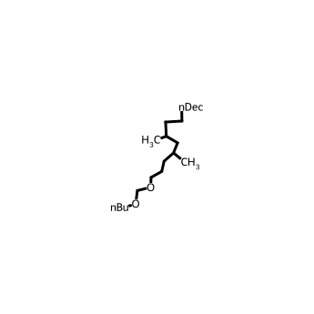 CCCCCCCCCCCCC(C)CC(C)CCCOCOCCCC